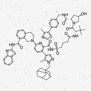 Cc1ncsc1-c1ccc([C@H](C)NC(=O)[C@@H]2C[C@@H](O)CN2C(=O)[C@@H](NC(=O)CCCS(=O)(=O)NC(=O)c2nc(N3CCc4cccc(C(=O)Nc5nc6ccccc6s5)c4C3)ccc2-c2cnn(CC34CC5CC(CC(C5)C3)C4)c2C)C(C)(C)C)cc1